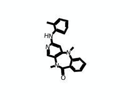 Cc1ccccc1Nc1cc2c(cn1)N(C)C(=O)c1ccccc1N2C